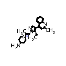 C=Nc1c(-c2cc(C)nc3ccccc23)cnn1/C=C(\C)N1CCC(N)CC1